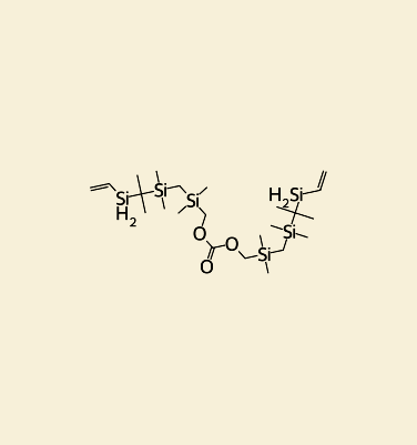 C=C[SiH2]C(C)(C)[Si](C)(C)C[Si](C)(C)COC(=O)OC[Si](C)(C)C[Si](C)(C)C(C)(C)[SiH2]C=C